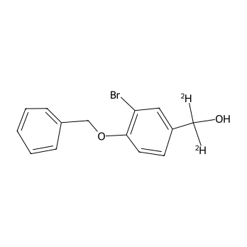 [2H]C([2H])(O)c1ccc(OCc2ccccc2)c(Br)c1